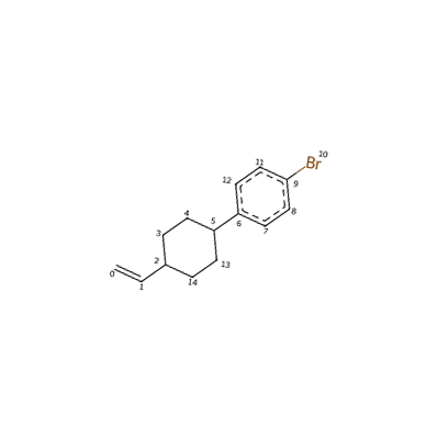 C=CC1CCC(c2ccc(Br)cc2)CC1